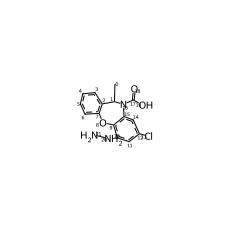 CC1c2ccccc2Oc2ccc(Cl)cc2N1C(=O)O.NN